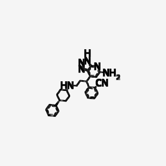 N#Cc1ccccc1C(CCN[C@H]1CC[C@H](c2ccccc2)CC1)c1cc(N)nc2[nH]nnc12